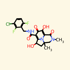 CN1CC2(C)CC(O)c3c(C(=O)NCc4c(F)ccc(Cl)c4F)c(=O)c(O)c(n32)C1=O